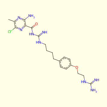 Cc1nc(N)c(C(=O)NC(=N)NCCCCc2ccc(OCCNC(=N)N)cc2)nc1Cl